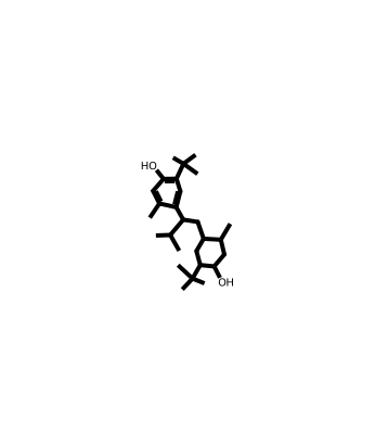 Cc1cc(O)c(C(C)(C)C)cc1C(CC1CC(C(C)(C)C)C(O)CC1C)C(C)C